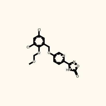 COCOc1c(Cl)cc(Cl)cc1COc1ccc(-c2noc(=O)[nH]2)nc1